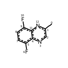 Cc1cnc2c(F)ccc(F)c2n1